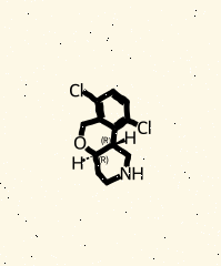 Clc1ccc(Cl)c2c1CO[C@@H]1CCNC[C@@H]21